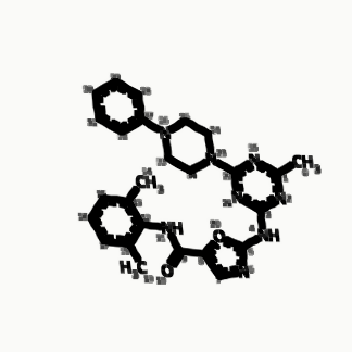 Cc1nc(Nc2ncc(C(=O)Nc3c(C)cccc3C)o2)nc(N2CCN(c3ccccc3)CC2)n1